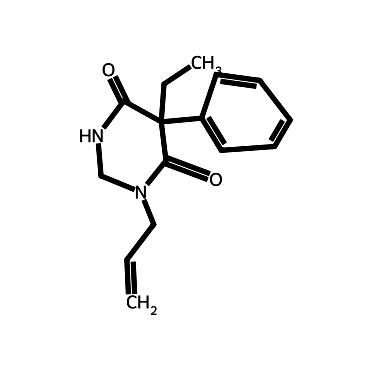 C=CCN1CNC(=O)C(CC)(c2ccccc2)C1=O